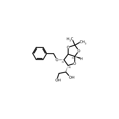 CC1(C)OC2[C@@H](O[C@H](C(O)CO)[C@@H]2OCc2ccccc2)O1